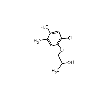 Cc1cc(Cl)c(OCC(C)O)cc1N